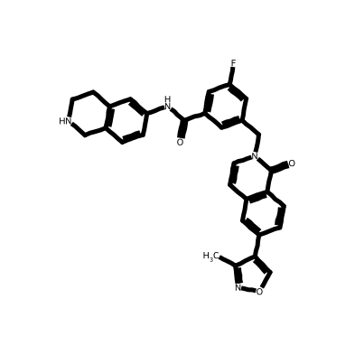 Cc1nocc1-c1ccc2c(=O)n(Cc3cc(F)cc(C(=O)Nc4ccc5c(c4)CCNC5)c3)ccc2c1